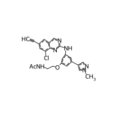 C#Cc1cc(Cl)c2nc(Nc3cc(OCCNC(C)=O)cc(-c4cnn(C)c4)c3)ncc2c1